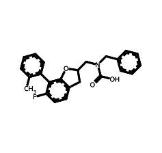 Cc1ccccc1-c1c(F)ccc2c1OC(CN(Cc1ccccc1)C(=O)O)C2